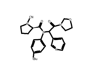 CC(C)(C)c1ccc(N(C(=O)[C@H]2CCCN2C#N)C(C(=O)N2CCOC2)c2cccnc2)cc1